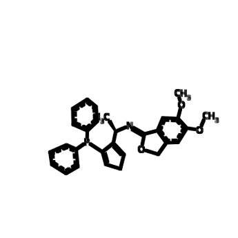 COc1cc2c(cc1OC)/C(=N/[C@H](C)C1=CCC=C1P(c1ccccc1)c1ccccc1)OC2